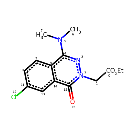 CCOC(=O)Cn1nc(N(C)C)c2ccc(Cl)cc2c1=O